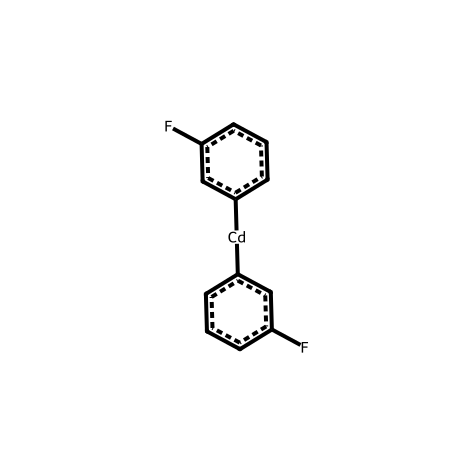 Fc1ccc[c]([Cd][c]2cccc(F)c2)c1